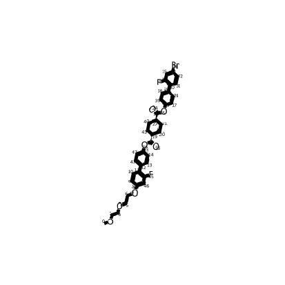 COCCOCCOc1ccc(-c2ccc(OC(=O)[C@H]3CC[C@H](C(=O)Oc4ccc(-c5ccc(Br)cc5F)cc4)CC3)cc2)c(F)c1